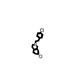 Clc1ccc(CCN2CCc3ccc(Cl)cc3C2)cc1